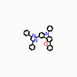 c1ccc(-c2cc(-c3ccccc3)nc(-c3ccc4c(c3)c3c5oc6ccccc6c5ccc3n4-c3ccccc3)n2)cc1